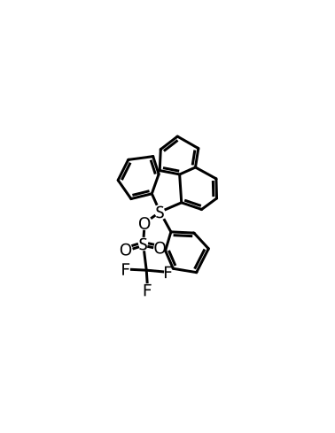 O=S(=O)(OS(c1ccccc1)(c1ccccc1)c1cccc2ccccc12)C(F)(F)F